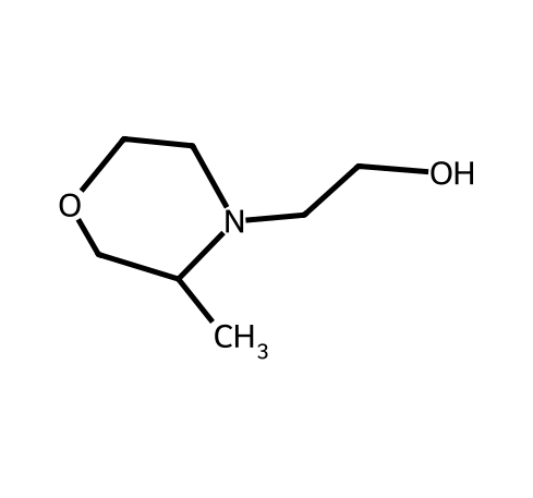 CC1COCCN1CCO